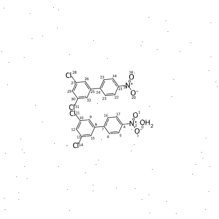 O.O=[N+]([O-])c1ccc(-c2cc(Cl)cc(Cl)c2)cc1.O=[N+]([O-])c1ccc(-c2cc(Cl)cc(Cl)c2)cc1